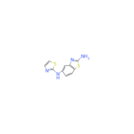 Nc1nc2cc(Nc3nccs3)ccc2s1